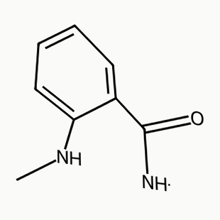 CNc1ccccc1C([NH])=O